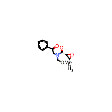 COCN(CC(=O)c1ccccc1)C(=O)[C@@H]1O[C@@H]1C